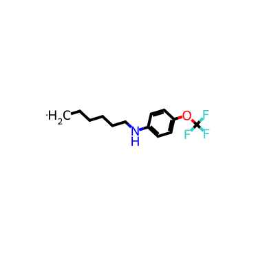 [CH2]CCCCCNc1ccc(OC(F)(F)F)cc1